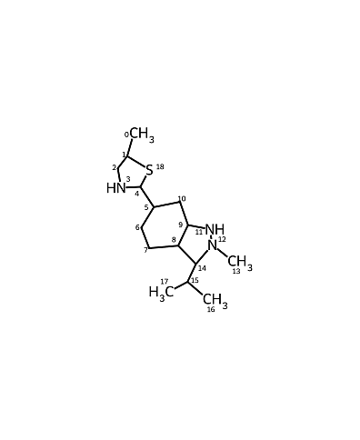 CC1CNC(C2CCC3C(C2)NN(C)C3C(C)C)S1